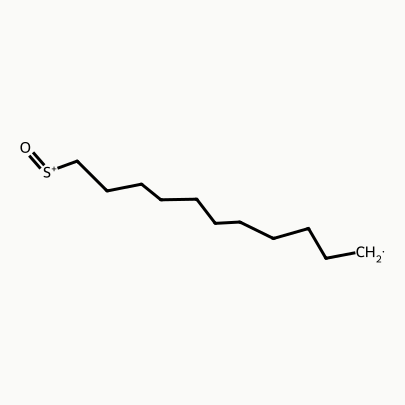 [CH2]CCCCCCCCCC[S+]=O